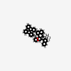 CC1(C)c2c(-c3cccc4ccccc34)cccc2-c2c(N(c3ccccc3)c3ccc4c(c3)C3(c5ccccc5-c5ccccc53)c3ccccc3-4)ccc3cccc1c23